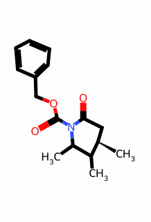 CC1C(C)N(C(=O)OCc2ccccc2)C(=O)C[C@H]1C